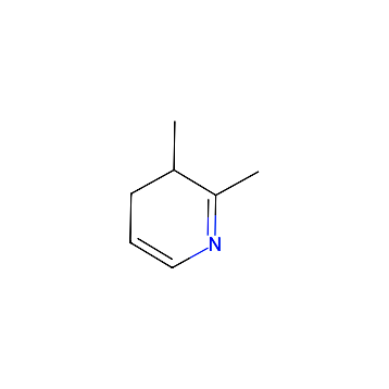 CC1=NC=CCC1C